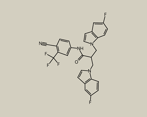 N#Cc1ccc(NC(=O)C(Cn2ccc3cc(F)ccc32)Cn2ccc3cc(F)ccc32)cc1C(F)(F)F